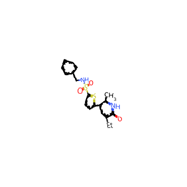 CCc1cc(-c2ccc(S(=O)(=O)NCc3ccccc3)s2)c(C)[nH]c1=O